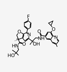 Cc1cnc2c(OC3CC3)cc(C(=O)NC[C@](C)(O)c3cc4c(c(-c5ccc(F)cc5)n3)OC[C@]4(C)C(=O)NCC(C)(C)O)cc2c1